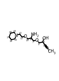 CC#CC(O)COCC(N)COCCN1CCCCC1